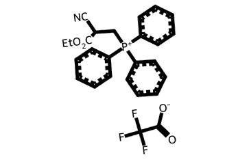 CCOC(=O)C(C#N)C[P+](c1ccccc1)(c1ccccc1)c1ccccc1.O=C([O-])C(F)(F)F